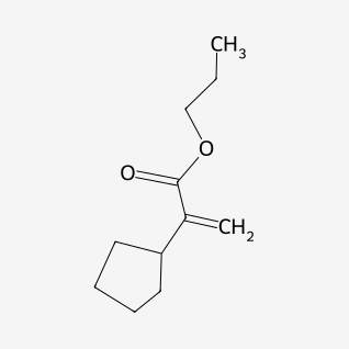 C=C(C(=O)OCCC)C1CCCC1